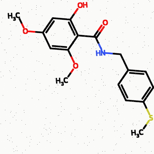 COc1cc(O)c(C(=O)NCc2ccc(SC)cc2)c(OC)c1